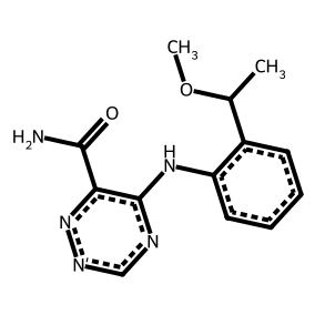 COC(C)c1ccccc1Nc1ncnnc1C(N)=O